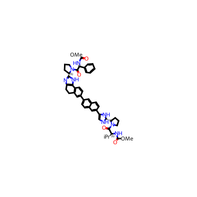 COC(=O)N[C@H](C(=O)N1CCC[C@H]1C1NC=C(c2ccc3cc(-c4ccc5c(c4)CCc4nc([C@@H]6CCCN6C(=O)[C@H](NC(=O)OC)c6ccccc6)[nH]c4-5)ccc3c2)N1)C(C)C